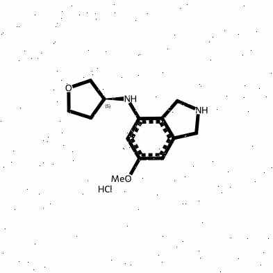 COc1cc2c(c(N[C@H]3CCOC3)c1)CNC2.Cl